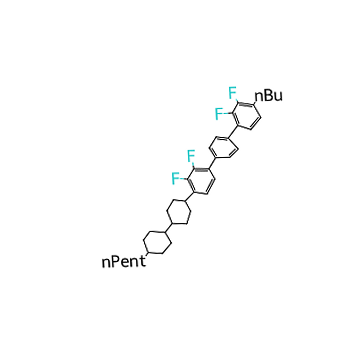 CCCCCC1CCC(C2CCC(c3ccc(-c4ccc(-c5ccc(CCCC)c(F)c5F)cc4)c(F)c3F)CC2)CC1